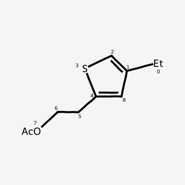 CCc1csc(CCOC(C)=O)c1